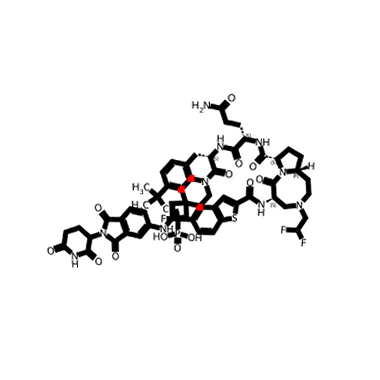 CC(C)(C)c1ccc(C[C@H](NC(=O)[C@H](CCC(N)=O)NC(=O)[C@@H]2CC[C@@H]3CCN(CC(F)F)C[C@H](NC(=O)c4cc5cc(C(F)(F)P(=O)(O)O)ccc5s4)C(=O)N32)C(=O)N2CCC3(CC2)CC(Nc2ccc4c(c2)C(=O)N(C2CCC(=O)NC2=O)C4=O)C3)cc1